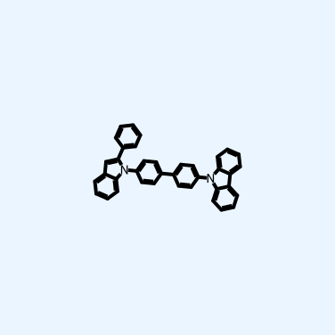 c1ccc(-c2cc3ccccc3n2-c2ccc(-c3ccc(-n4c5ccccc5c5ccccc54)cc3)cc2)cc1